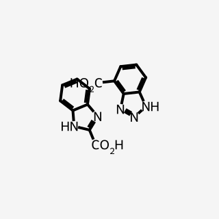 O=C(O)c1cccc2[nH]nnc12.O=C(O)c1nc2ccccc2[nH]1